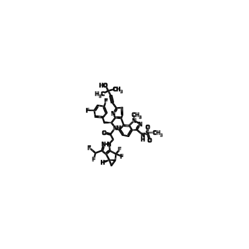 Cn1nc(NS(C)(=O)=O)c2cccc(-c3ccc(C#CC(C)(C)O)nc3[C@H](Cc3cc(F)cc(F)c3)NC(=O)Cn3nc(C(F)F)c4c3C(F)(F)C3C[C@H]43)c21